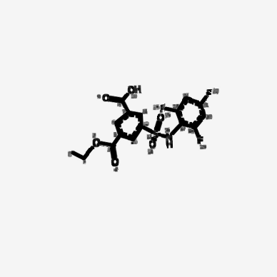 CCOC(=O)c1cc(C(=O)O)cc(S(=O)(=O)Nc2c(F)cc(F)cc2F)c1